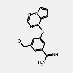 N=C(N)c1cc(CO)cc(Nc2ncnn3cccc23)c1